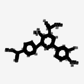 COC(=O)c1ccc(-c2nc(-c3ccc(OC)c(F)c3)cc(C(=O)OC)c2N)cc1